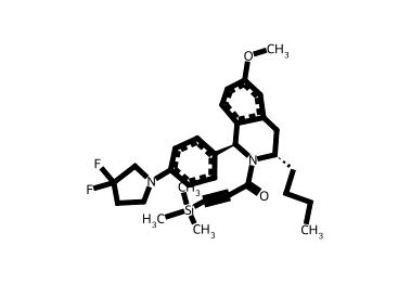 CCCC[C@H]1Cc2cc(OC)ccc2[C@H](c2ccc(N3CCC(F)(F)C3)cc2)N1C(=O)C#C[Si](C)(C)C